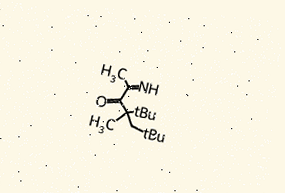 CC(=N)C(=O)C(C)(CC(C)(C)C)C(C)(C)C